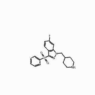 O=S(=O)(c1ccccc1)c1nn(CC2CCNCC2)c2cc(F)ccc12